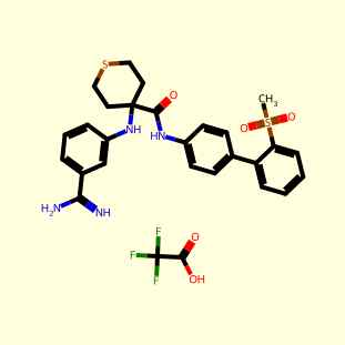 CS(=O)(=O)c1ccccc1-c1ccc(NC(=O)C2(Nc3cccc(C(=N)N)c3)CCSCC2)cc1.O=C(O)C(F)(F)F